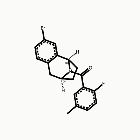 Cc1ccc(F)c(C(=O)N2[C@H]3CC[C@@H]2c2cc(Br)ccc2C3)c1